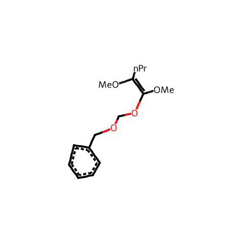 CCCC(OC)=C(OC)OCOCc1ccccc1